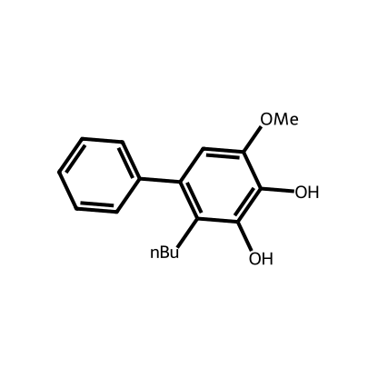 CCCCc1c(-c2ccccc2)cc(OC)c(O)c1O